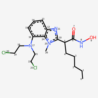 CCCCCC(C(=O)NO)c1nc2cccc(N(CCCl)CCCl)c2n1C